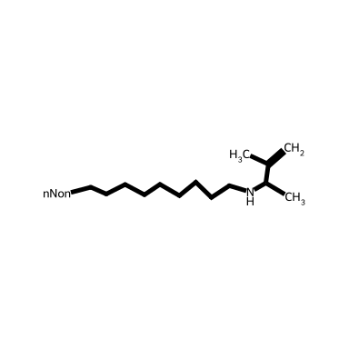 C=C(C)C(C)NCCCCCCCCCCCCCCCCCC